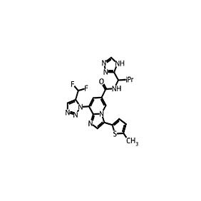 Cc1ccc(-c2cnc3c(-n4nncc4C(F)F)cc(C(=O)NC(c4nnc[nH]4)C(C)C)cn23)s1